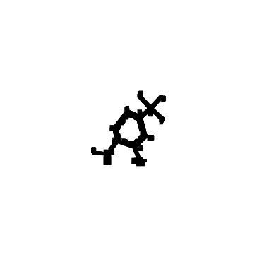 CNc1ccc(C(C)(C)C)cc1Br